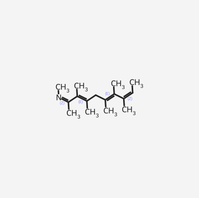 C/C=C(C)\C(C)=C(/C)C/C(C)=C(C)/C(C)=N\C